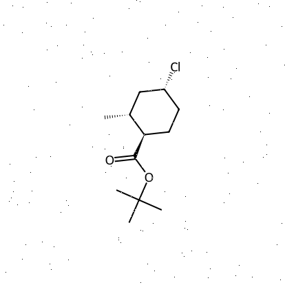 C[C@@H]1C[C@H](Cl)CC[C@H]1C(=O)OC(C)(C)C